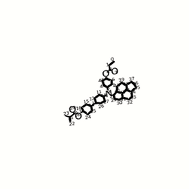 C=CC(=O)Oc1ccc(N(c2ccc(-c3ccc(OC(=O)C(=C)C)cc3)cc2)c2ccc3ccc4cccc5ccc2c3c45)cc1